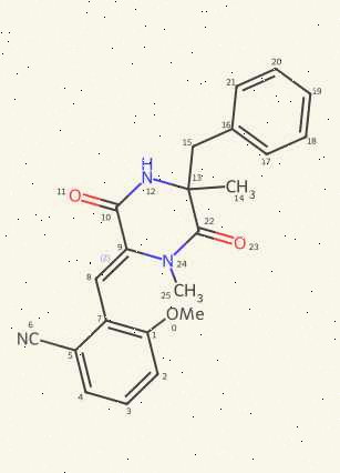 COc1cccc(C#N)c1/C=C1/C(=O)NC(C)(Cc2ccccc2)C(=O)N1C